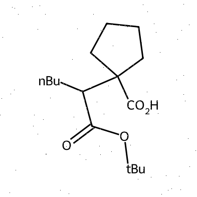 CCCCC(C(=O)OC(C)(C)C)C1(C(=O)O)CCCC1